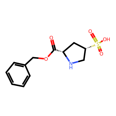 O=C(OCc1ccccc1)[C@@H]1C[C@H](S(=O)(=O)O)CN1